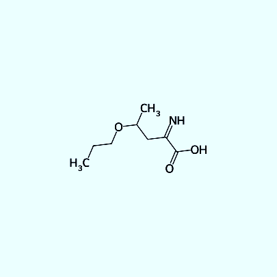 CCCOC(C)CC(=N)C(=O)O